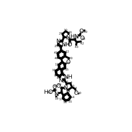 COCC1CC(c2nc3ccc4cc5c(cc4c3[nH]2)OCc2cc(-c3cnc(C4CCCN4C(=O)C(NC(=O)OC)C(C)C)[nH]3)ccc2-5)N(C(=O)C(c2ccccc2)N(C)C(=O)O)C1